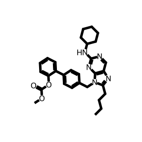 CCCCc1nc2cnc(NC3CCCCC3)nc2n1Cc1ccc(-c2ccccc2OC(=O)OC)cc1